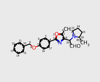 Cc1oc(-c2ccc(OCc3ccccc3)cc2)nc1C(C=O)N1CCC[C@H]1C